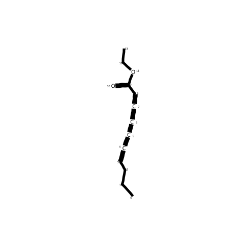 CCCC=C=C=C=C=CC(=O)OCC